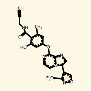 C#CCNC(=O)c1c(C)cc(Oc2nccn3c(-c4conc4C(F)(F)F)cnc23)cc1O